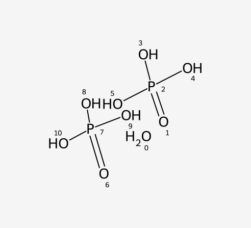 O.O=P(O)(O)O.O=P(O)(O)O